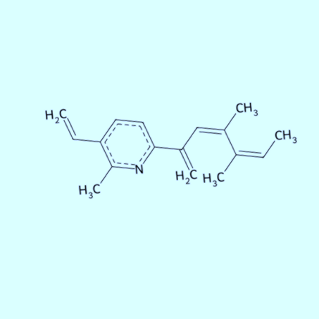 C=Cc1ccc(C(=C)/C=C(C)\C(C)=C/C)nc1C